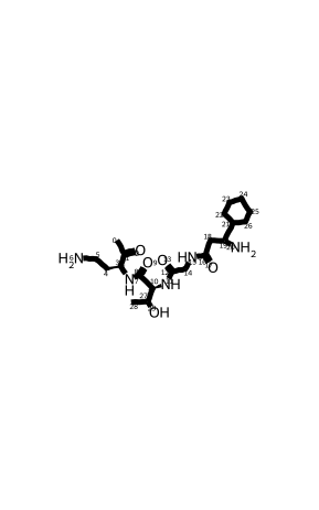 CC(=O)[C@H](CCN)NC(=O)[C@@H](NC(=O)CNC(=O)CC(N)C1CCCCC1)C(C)O